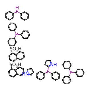 O=S(=O)(O)c1cccc2ccccc12.O=S(=O)(O)c1cccc2ccccc12.c1cc[nH]c1.c1ccc(P(c2ccccc2)c2ccc[nH]2)cc1.c1ccc(P(c2ccccc2)c2ccccc2)cc1.c1ccc(P(c2ccccc2)c2ccccc2)cc1.c1ccc(Pc2ccccc2)cc1